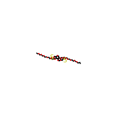 CCCCCCCCCCCCc1cc2cc3c(ccc4c5cc6cc(CCCCCCCCCCCC)sc6cc5ccc34)cc2s1